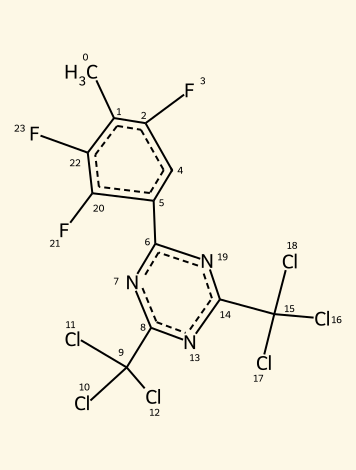 Cc1c(F)cc(-c2nc(C(Cl)(Cl)Cl)nc(C(Cl)(Cl)Cl)n2)c(F)c1F